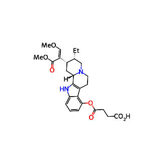 CC[C@@H]1CN2CCc3c([nH]c4cccc(OC(=O)CCC(=O)O)c34)[C@@H]2C[C@@H]1/C(=C/OC)C(=O)OC